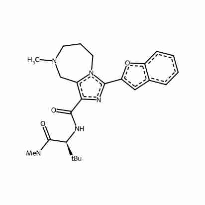 CNC(=O)[C@@H](NC(=O)c1nc(-c2cc3ccccc3o2)n2c1CN(C)CCC2)C(C)(C)C